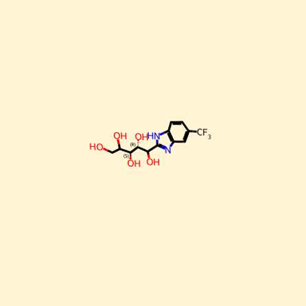 OCC(O)[C@H](O)[C@H](O)C(O)c1nc2cc(C(F)(F)F)ccc2[nH]1